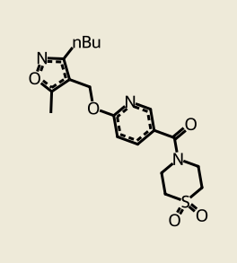 CCCCc1noc(C)c1COc1ccc(C(=O)N2CCS(=O)(=O)CC2)cn1